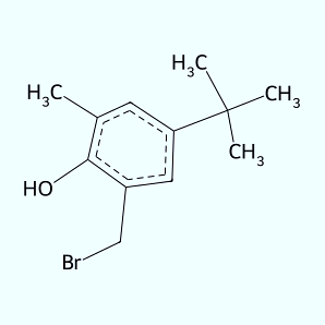 Cc1cc(C(C)(C)C)cc(CBr)c1O